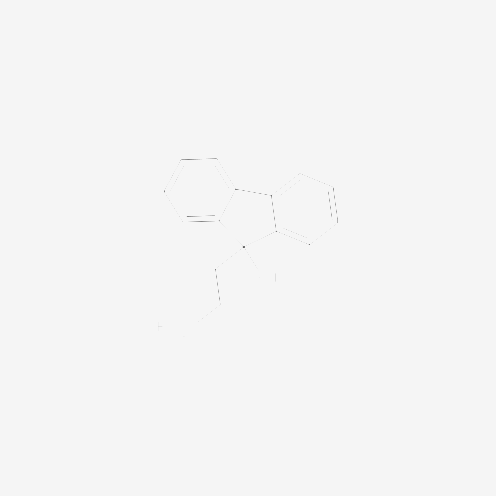 CCOC(=O)CCC1(C)c2ccccc2-c2ccccc21